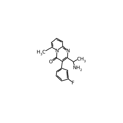 Cc1cccc2nc(C(C)N)c(-c3cccc(F)c3)c(=O)n12